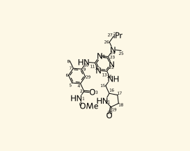 CONC(=O)c1ccc(C)c(Nc2nc(NCC3CCC(=O)N3)nc(N(C)CC(C)C)n2)c1